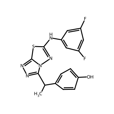 CC(c1ccc(O)cc1)c1nnc2sc(Nc3cc(F)cc(F)c3)nn12